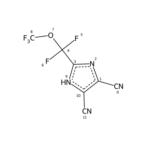 N#Cc1nc(C(F)(F)OC(F)(F)F)[nH]c1C#N